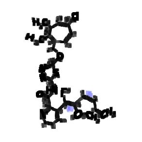 C=C/C=C\C(OC)=C(/F)c1cccnc1C(=O)Nc1nnc(OCC2=C(C)C(C)C=C(Cl)C=C2)s1